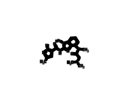 CCCn1c(NC(=O)c2cc(C)nn2CC)nc2c(N(C)C(=O)CN(C)C)cccc21